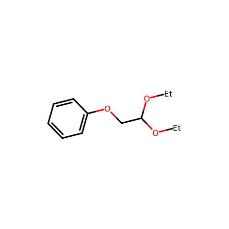 CCOC(COc1ccccc1)OCC